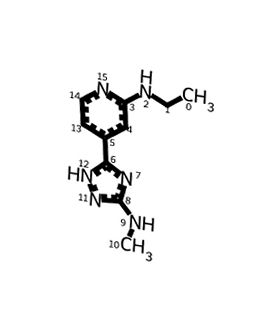 CCNc1cc(-c2nc(NC)n[nH]2)ccn1